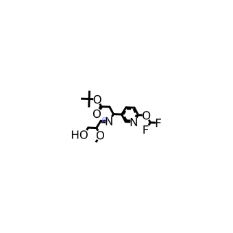 COC(/C=N/C(CC(=O)OC(C)(C)C)c1ccc(OC(F)F)nc1)CO